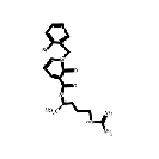 N=C(N)NCCC[C@H](NC(=O)c1cccn(Cc2ccccc2Br)c1=O)C(=O)O